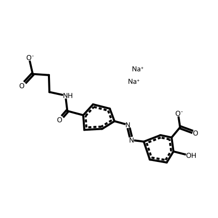 O=C([O-])CCNC(=O)c1ccc(/N=N/c2ccc(O)c(C(=O)[O-])c2)cc1.[Na+].[Na+]